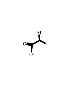 CCC(I)C([O])=O